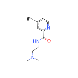 CC(C)c1ccnc(C(=O)NCCN(C)C)c1